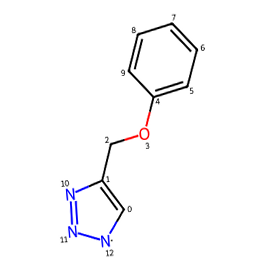 C1=C(COc2ccccc2)N=N[N]1